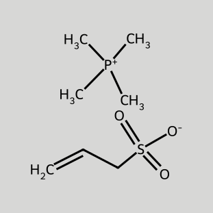 C=CCS(=O)(=O)[O-].C[P+](C)(C)C